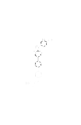 O=C(O)C[C@H]1CC[C@H](c2ccc(-c3cnc(Nc4ccc(C(F)(F)F)nc4)nc3)cc2)CC1